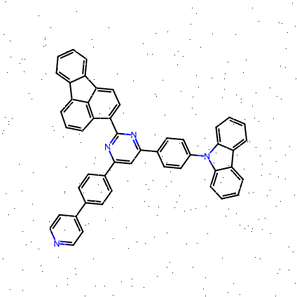 c1ccc2c(c1)-c1cccc3c(-c4nc(-c5ccc(-c6ccncc6)cc5)cc(-c5ccc(-n6c7ccccc7c7ccccc76)cc5)n4)ccc-2c13